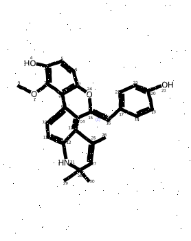 COc1c(O)ccc2c1-c1ccc3c(c1/C(=C/c1ccc(O)cc1)O2)C(C)=CC(C)(C)N3